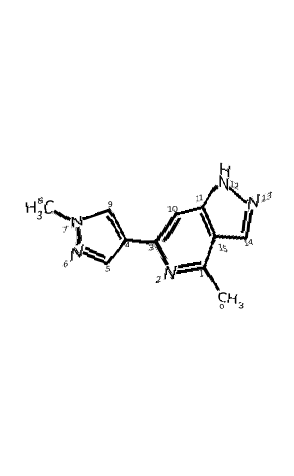 Cc1nc(-c2cnn(C)c2)cc2[nH]ncc12